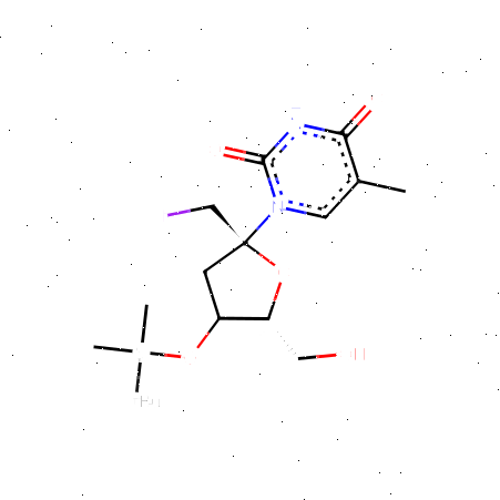 Cc1cn([C@@]2(CI)CC(O[Si](C)(C)C(C)(C)C)[C@@H](CO)O2)c(=O)[nH]c1=O